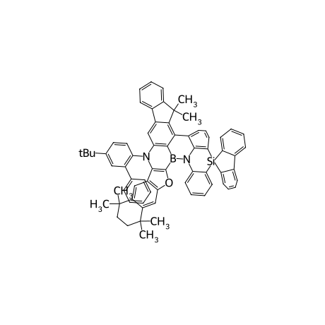 CC(C)(C)c1ccc(N2c3cc4c(c5c3B(c3oc6cc7c(cc6c32)C(C)(C)CCC7(C)C)N2c3ccccc3[Si]3(c6ccccc6-c6ccccc63)c3cccc-5c32)C(C)(C)c2ccccc2-4)c(-c2ccccc2)c1